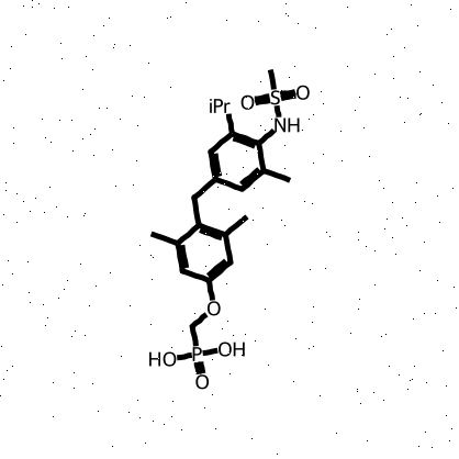 Cc1cc(OCP(=O)(O)O)cc(C)c1Cc1cc(C)c(NS(C)(=O)=O)c(C(C)C)c1